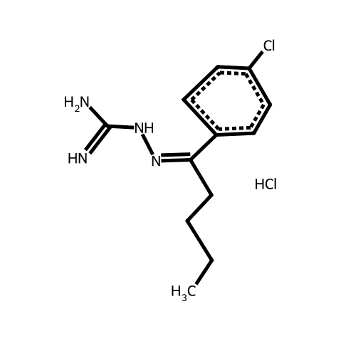 CCCC/C(=N/NC(=N)N)c1ccc(Cl)cc1.Cl